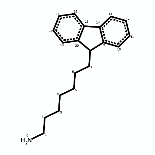 NCCCCC[CH]CC1c2ccccc2-c2ccccc21